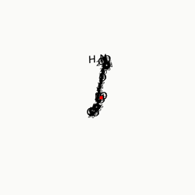 CC1(C)OCc2cc([C@@H]3CN(CCCCCCCOCCCc4cccc(S(N)(=O)=O)c4)C(=O)O3)ccc2O1